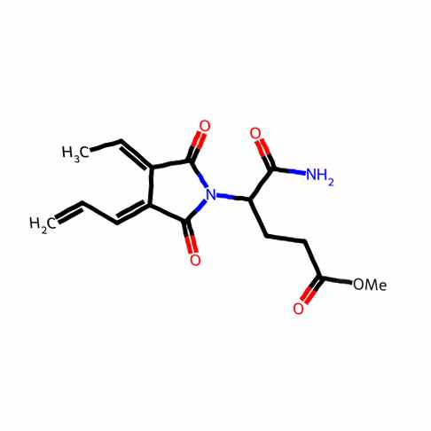 C=C/C=C1/C(=O)N(C(CCC(=O)OC)C(N)=O)C(=O)/C1=C/C